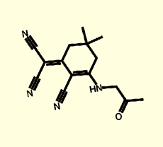 CC(=O)CNC1=C(C#N)C(=C(C#N)C#N)CC(C)(C)C1